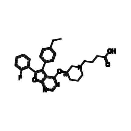 CCc1ccc(-c2c(-c3ccccc3F)oc3ncnc(O[C@@H]4CCCN(CCCC(=O)O)C4)c23)cc1